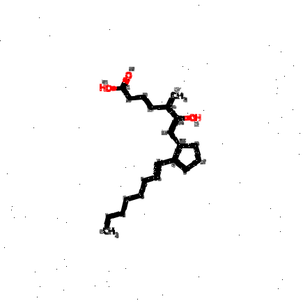 CCCCCC/C=C/C1CCC[C@@H]1CC(O)C(C)CCCC(=O)O